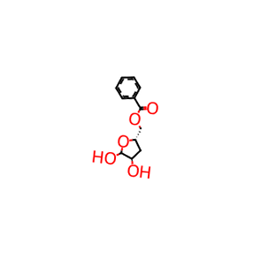 O=C(OC[C@@H]1C[C@@H](O)C(O)O1)c1ccccc1